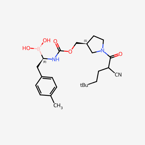 Cc1ccc(C[C@H](NC(=O)OC[C@H]2CCN(C(=O)C(C#N)CCC(C)(C)C)C2)B(O)O)cc1